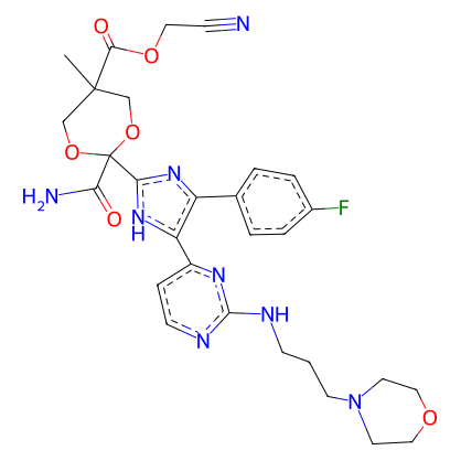 CC1(C(=O)OCC#N)COC(C(N)=O)(c2nc(-c3ccc(F)cc3)c(-c3ccnc(NCCCN4CCOCC4)n3)[nH]2)OC1